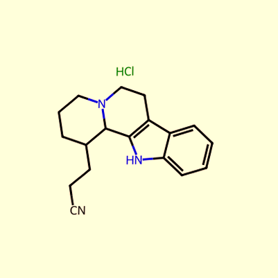 Cl.N#CCCC1CCCN2CCc3c([nH]c4ccccc34)C12